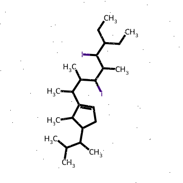 CCC(CC)C(I)C(C)C(I)C(C)C(C)C1=CCC(C(C)C(C)C)C1C